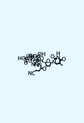 Cc1cn([C@H]2CC(OC(CCC#N)N=[N+]=[N-])[C@@H](COP(=O)(O)OP(=O)(O)OP(=O)(O)O)O2)c(=O)[nH]c1=O